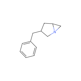 c1ccc(CC2CC3CN3C2)cc1